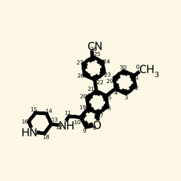 Cc1ccc(-c2cc3occ(CNC4CCCNC4)c3cc2-c2ccc(C#N)cc2)cc1